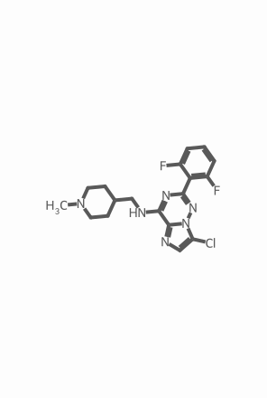 CN1CCC(CNc2nc(-c3c(F)cccc3F)nn3c(Cl)cnc23)CC1